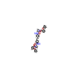 O=C(Nc1ccc(/C=C/c2ccc(NC(=O)[C@@H]3CCCN3C(=O)c3ccccc3Oc3ccccc3)cc2)cc1)[C@@H]1CCCN1OCc1ccccc1Oc1ccccc1